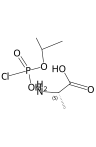 CC(C)OP(=O)(O)Cl.C[C@H](N)C(=O)O